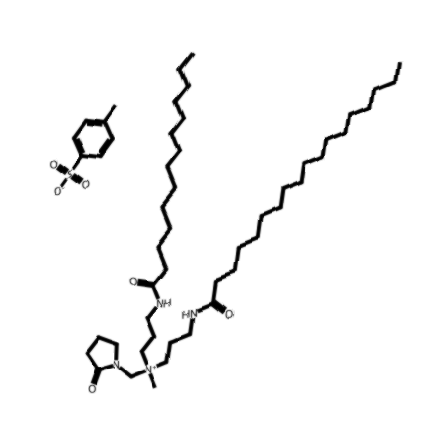 CCCCCCCCCCCCCCCCCC(=O)NCCC[N+](C)(CCCNC(=O)CCCCCCCCCCCCC)CN1CCCC1=O.Cc1ccc(S(=O)(=O)[O-])cc1